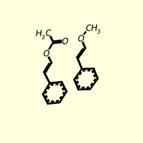 CC(=O)OC=Cc1ccccc1.COC=Cc1ccccc1